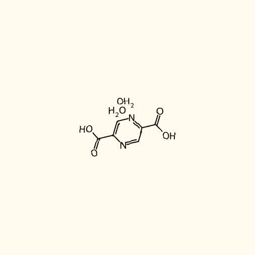 O.O.O=C(O)c1cnc(C(=O)O)cn1